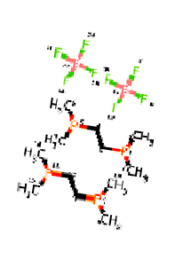 CP(C)CCP(C)C.CP(C)CCP(C)C.F[B-](F)(F)F.F[B-](F)(F)F